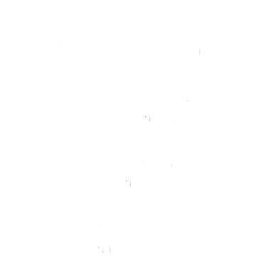 CC1(N)CCN(C(=O)[C@H](Cc2ccc(Br)cc2)NC(=O)C2(c3ccc(F)c(F)c3F)CC2)CC1